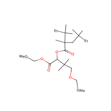 CCC(C)(C)CC(C)(C(=O)OC(C(=O)OCOC)C(C)(C)COCOC)C(C)(C)CC